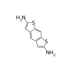 Nc1cc2cc3cc(N)sc3cc2s1